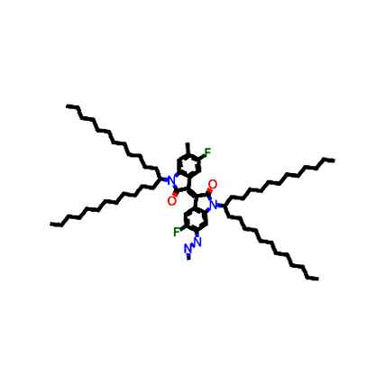 CCCCCCCCCCCCC(CCCCCCCCCCCC)N1C(=O)/C(=C2/C(=O)N(C(CCCCCCCCCCCC)CCCCCCCCCCCC)c3cc(/N=N/C)c(F)cc32)c2cc(F)c(C)cc21